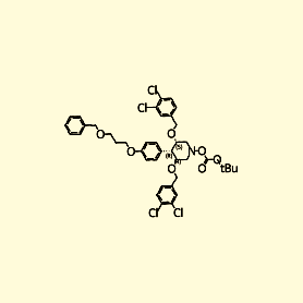 CC(C)(C)OC(=O)ON1C[C@H](OCc2ccc(Cl)c(Cl)c2)[C@H](c2ccc(OCCCOCc3ccccc3)cc2)[C@H](OCc2ccc(Cl)c(Cl)c2)C1